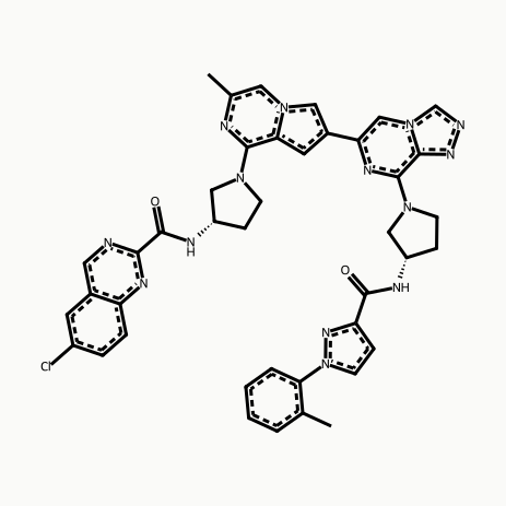 Cc1cn2cc(-c3cn4cnnc4c(N4CC[C@H](NC(=O)c5ccn(-c6ccccc6C)n5)C4)n3)cc2c(N2CC[C@H](NC(=O)c3ncc4cc(Cl)ccc4n3)C2)n1